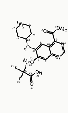 COC(=O)c1ncnc2cc(OC)c(OC3CCNCC3)cc12.O=C(O)C(F)(F)F